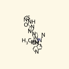 CC(C)C1CN(c2cnc(C(=O)Nc3nccs3)cn2)CCN1/C(=N\C#N)Nc1cccc2ncccc12